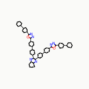 c1ccc(-c2ccc(-c3nnc(-c4ccc(-c5ccc(-c6nc7ccccc7nc6-c6ccc(-c7ccc(-c8nnc(-c9ccc(-c%10ccccc%10)cc9)o8)cc7)cc6)cc5)cc4)o3)cc2)cc1